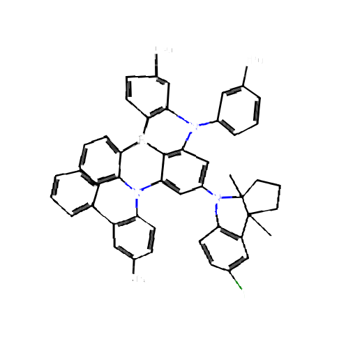 CC(C)(C)c1cccc(N2c3cc(C(C)(C)C)ccc3B3c4ccccc4N(c4ccc(C(C)(C)C)cc4-c4ccccc4)c4cc(N5c6ccc(F)cc6C6(C)CCCC56C)cc2c43)c1